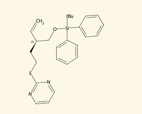 C=C[C@H](CCSc1ncccn1)CO[Si](c1ccccc1)(c1ccccc1)C(C)(C)C